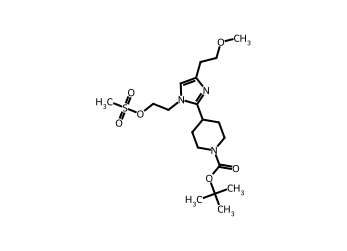 COCCc1cn(CCOS(C)(=O)=O)c(C2CCN(C(=O)OC(C)(C)C)CC2)n1